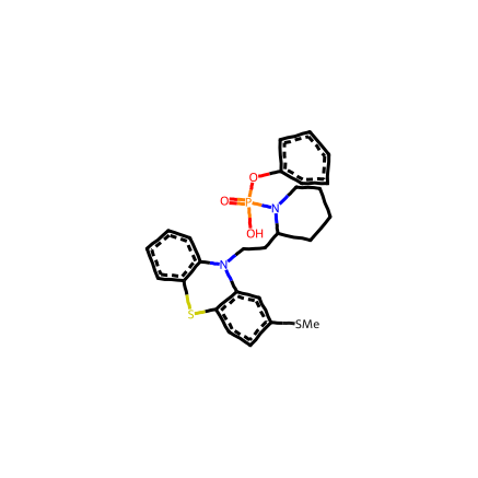 CSc1ccc2c(c1)N(CCC1CCCCN1P(=O)(O)Oc1ccccc1)c1ccccc1S2